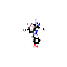 Cc1n[nH]c(C)c1C1(C)N=CN(CC2=CC(O)=CCC2)C1CC(C)O